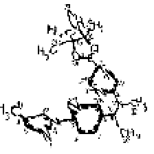 Cc1cnn(-c2ccc([C@H](C)N(C)c3ccc(B4OC(C)(C)C(C)(C)O4)cn3)cn2)c1